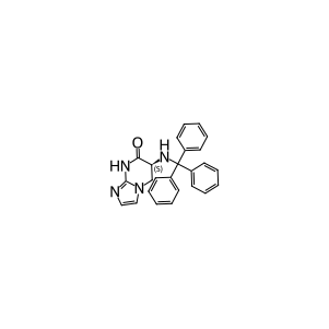 O=C1Nc2nccn2C[C@@H]1NC(c1ccccc1)(c1ccccc1)c1ccccc1